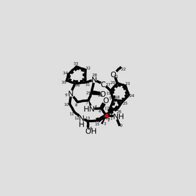 CN[C@@H](C)C(=O)N[C@H]1CN2CCNC(O)c3ccc4c(c(OC)ccc4c3)CN(C1=O)c1ccccc12